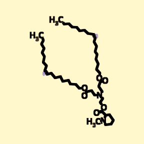 CCCCCCCC/C=C\CCCCCCCCOC(=O)CCN(CCOC(=O)C1CCCCN1C)CCC(=O)OCCCCCCCC/C=C\CCCCCCCC